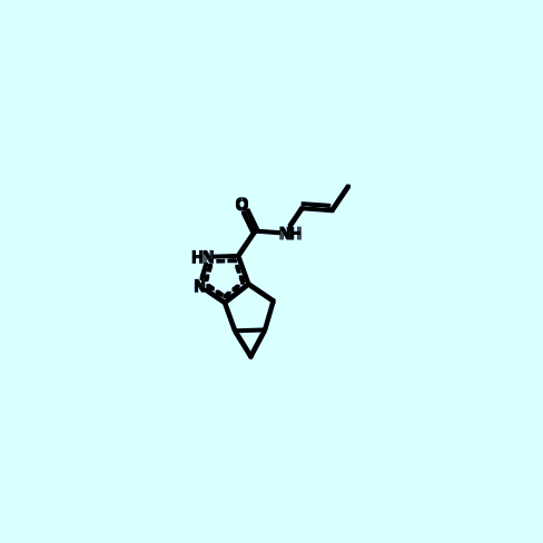 CC=CNC(=O)c1[nH]nc2c1CC1CC21